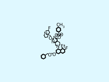 CCc1c(F)ccc2cc(OCOCc3ccccc3)cc(N3CCc4c(nc(OC[C@@]56CCCN5C[C@H](F)C6)nc4OS(=O)(=O)c4ccc(C)cc4)C3)c12